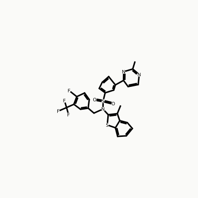 Cc1nccc(-c2cccc(S(=O)(=O)N(Cc3ccc(F)c(C(F)(F)F)c3)c3sc4ccccc4c3C)c2)n1